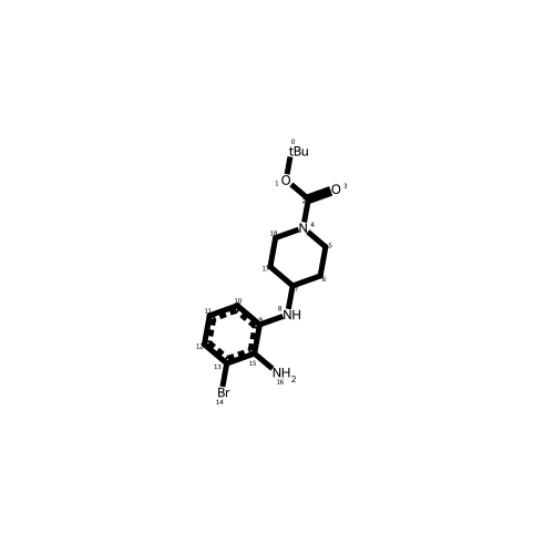 CC(C)(C)OC(=O)N1CCC(Nc2cccc(Br)c2N)CC1